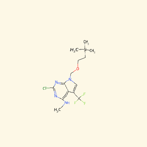 CNc1nc(Cl)nc2c1c(C(F)(F)F)cn2COCC[Si](C)(C)C